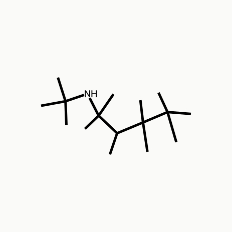 CC(C(C)(C)NC(C)(C)C)C(C)(C)C(C)(C)C